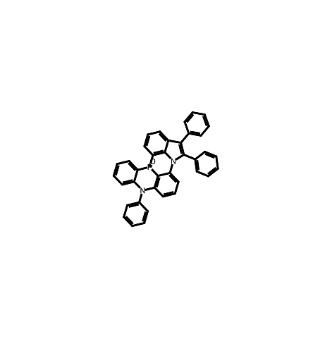 O=P12c3ccccc3N(c3ccccc3)c3cccc(c31)-n1c(-c3ccccc3)c(-c3ccccc3)c3cccc2c31